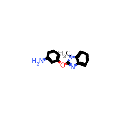 Cn1c(Oc2cccc(N)c2)nc2ccccc21